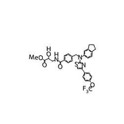 COC(=O)C(O)CNC(=O)c1ccc(CN(c2ccc3c(c2)CCC3)c2nc(-c3ccc(OC(F)(F)F)cc3)cs2)cc1